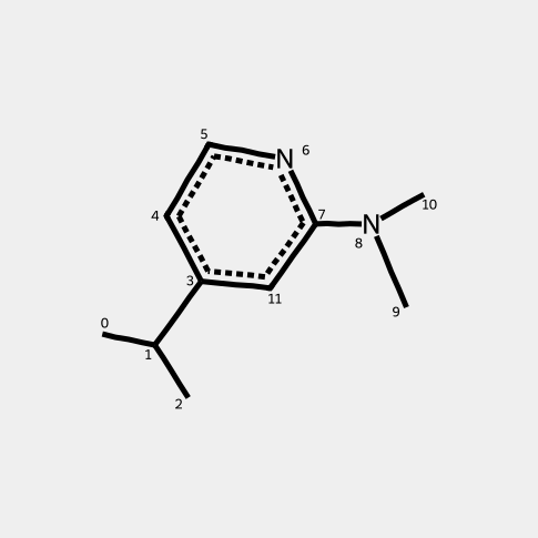 CC(C)c1ccnc(N(C)C)c1